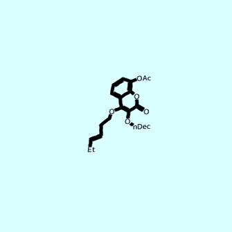 CCC=CCCOc1c(OCCCCCCCCCC)c(=O)oc2c(OC(C)=O)cccc12